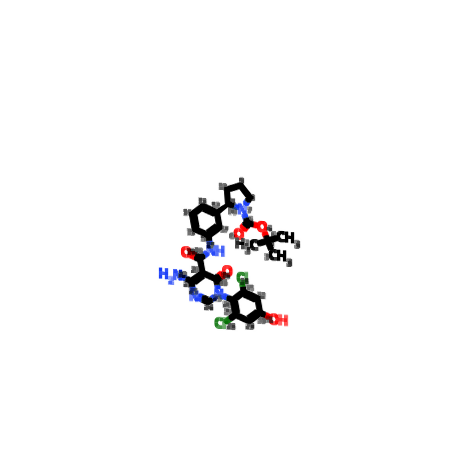 CC(C)(C)OC(=O)N1CCC[C@@H]1c1cccc(NC(=O)c2c(N)ncn(-c3c(Cl)cc(O)cc3Cl)c2=O)c1